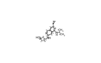 CC(C)Nc1nc(C#N)cc2cnc(N[C@H]3CC[C@@H](O)C3)cc12